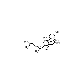 CC(C)CCC[C@@H](C)[C@H]1CC[C@H]2[C@@H]3C[C@@H](O)[C@@]4(C)C[C@@H](O)CC[C@]4(C)[C@H]3CC[C@]12C